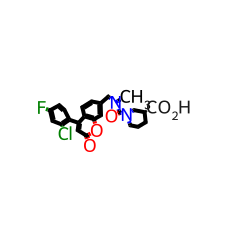 CN(Cc1ccc2c(-c3ccc(F)cc3Cl)cc(=O)oc2c1)C(=O)N1CCC[C@H](C(=O)O)C1